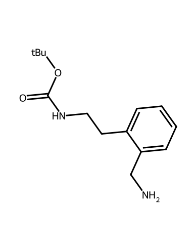 CC(C)(C)OC(=O)NCCc1ccccc1CN